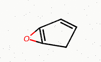 C1=CC2=C(C1)O2